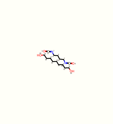 O=C=NCCCCN=C=O.OCCCCCCCCCO